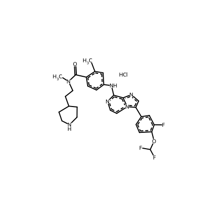 Cc1cc(Nc2nccn3c(-c4ccc(OC(F)F)c(F)c4)cnc23)ccc1C(=O)N(C)CCC1CCNCC1.Cl